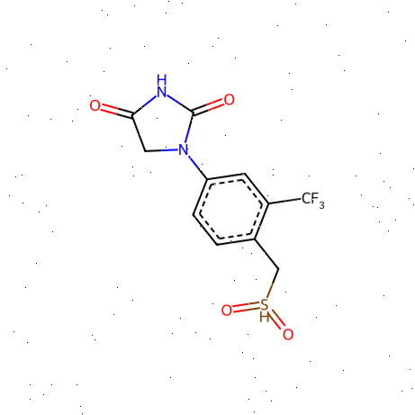 O=C1CN(c2ccc(C[SH](=O)=O)c(C(F)(F)F)c2)C(=O)N1